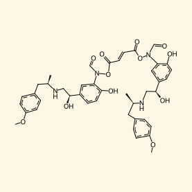 COc1ccc(C[C@@H](C)NC[C@H](O)c2ccc(O)c(N(C=O)OC(=O)/C=C/C(=O)ON(C=O)c3cc([C@@H](O)CN[C@H](C)Cc4ccc(OC)cc4)ccc3O)c2)cc1